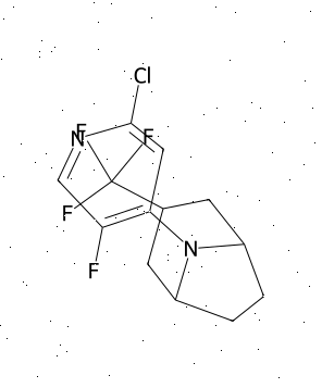 Fc1cnc(Cl)cc1N1C2CCC1CC(C(F)(F)F)C2